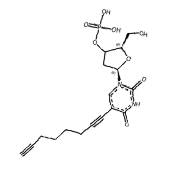 C#CCCCCC#Cc1cn([C@H]2CC(OP(=O)(O)O)[C@@H](CO)O2)c(=O)[nH]c1=O